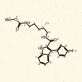 C[C@@H](CCCNC(=O)OC(C)(C)C)CNC(=O)c1[nH]c2ccccc2c1-c1ccc(F)cc1